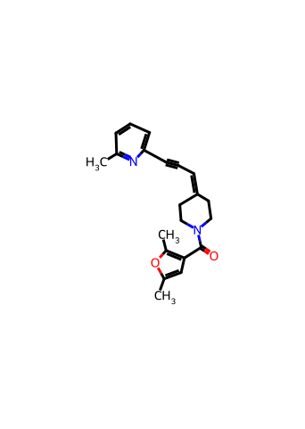 Cc1cccc(C#CC=C2CCN(C(=O)c3cc(C)oc3C)CC2)n1